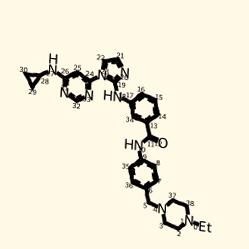 CCN1CCN(Cc2ccc(NC(=O)c3cccc(Nc4nccn4-c4cc(NC5CC5)ncn4)c3)cc2)CC1